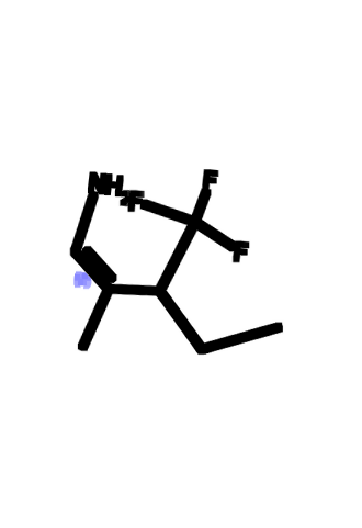 CCC(/C(C)=C\N)C(F)(F)F